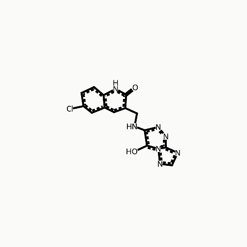 O=c1[nH]c2ccc(Cl)cc2cc1CNc1nnc2ncnn2c1O